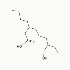 CCCCC(C[CH]CC(CC)CO)CC(=O)O